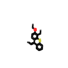 [CH2]C=C1c2ccccc2Sc2c1ccc(OCC)c2CC